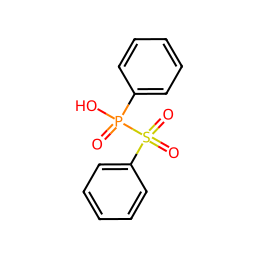 O=P(O)(c1ccccc1)S(=O)(=O)c1ccccc1